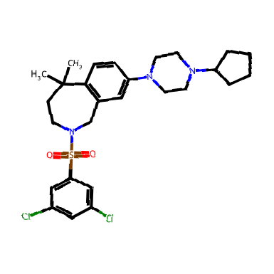 CC1(C)CCN(S(=O)(=O)c2cc(Cl)cc(Cl)c2)Cc2cc(N3CCN(C4CCCC4)CC3)ccc21